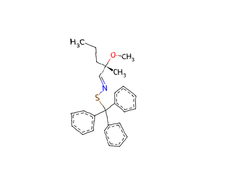 CCC[C@@](C)(C=NSC(c1ccccc1)(c1ccccc1)c1ccccc1)OC